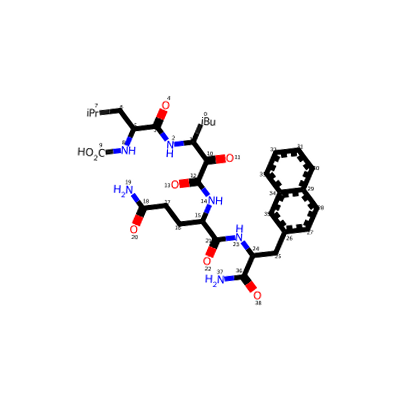 CCC(C)C(NC(=O)C(CC(C)C)NC(=O)O)C(=O)C(=O)NC(CCC(N)=O)C(=O)NC(Cc1ccc2ccccc2c1)C(N)=O